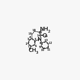 Cc1ccc2c(c1)N(c1ccccc1)C(=O)C(N)CC2